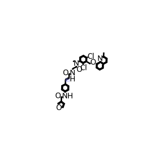 Cc1ccc2cccc(OCc3c(Cl)ccc(N(C)C(=O)CNC(=O)/C=C/c4ccc(NC(=O)c5ccoc5)cc4)c3Cl)c2n1